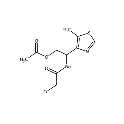 CC(=O)OCC(NC(=O)CCl)c1ncsc1C